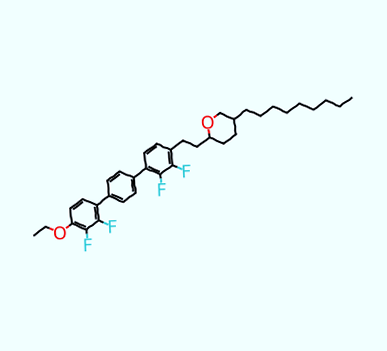 CCCCCCCCCC1CCC(CCc2ccc(-c3ccc(-c4ccc(OCC)c(F)c4F)cc3)c(F)c2F)OC1